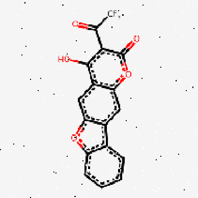 O=C(c1c(O)c2cc3oc4ccccc4c3cc2oc1=O)C(F)(F)F